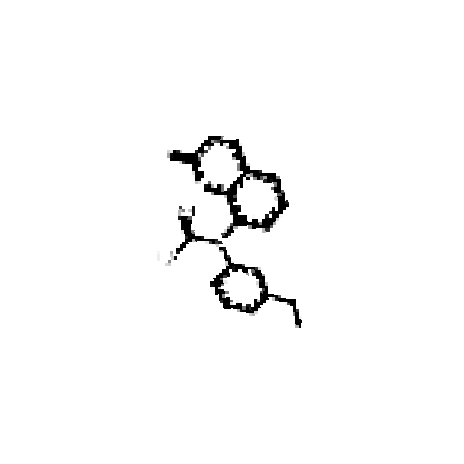 CCc1cccc(N(C(=N)N)c2cccc3ccc(=O)oc23)c1